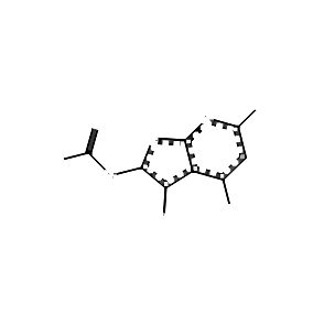 Cc1cc(C)c2c(Br)c(NC(=O)O)sc2n1